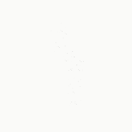 Cc1nn(C)c(C)c1CN1CCC(Nc2c(Cl)cnc3[nH]c(-c4ccc(N5CCNC(=O)CC5)cc4)nc23)CC1